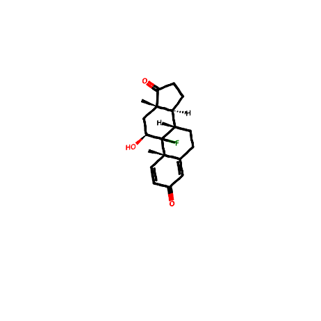 C[C@]12C=CC(=O)C=C1CC[C@H]1[C@@H]3CCC(=O)[C@@]3(C)C[C@H](O)C12F